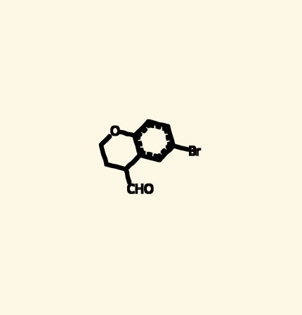 O=CC1CCOc2ccc(Br)cc21